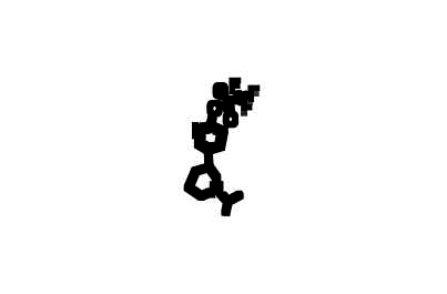 CC(C)N1CCCC(c2ccc(OS(=O)(=O)C(F)(F)F)nc2)C1